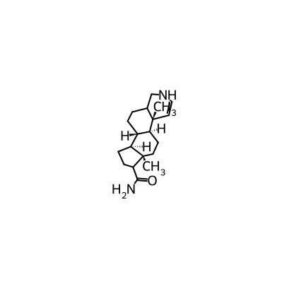 C[C@]12C=CNCC1CC[C@@H]1[C@@H]2CC[C@]2(C)C(C(N)=O)CC[C@@H]12